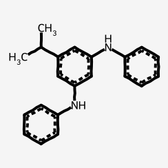 CC(C)c1cc(Nc2ccccc2)cc(Nc2ccccc2)c1